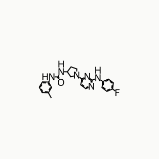 Cc1cccc(NC(=O)NC2CCN(c3ccnc(Nc4ccc(F)cc4)n3)C2)c1